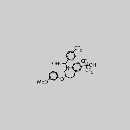 COc1cccc(O[C@H]2CCc3cc(C(O)(C(F)(F)F)C(F)(F)F)ccc3N(C(C=O)c3ccc(C(F)(F)F)cc3)C2)c1